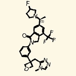 C[C@@H](c1cc2c(c(C(F)(F)F)c1)CN(c1cccc(C3(Cc4nncn4C)COC3)c1)C2=O)N1CCC(F)C1